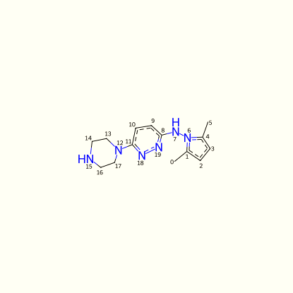 Cc1ccc(C)n1Nc1ccc(N2CCNCC2)nn1